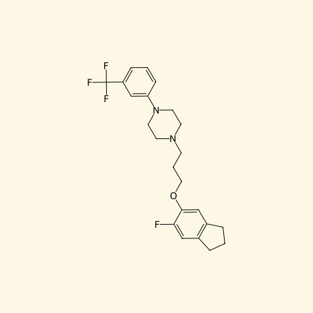 Fc1cc2c(cc1OCCCN1CCN(c3cccc(C(F)(F)F)c3)CC1)CCC2